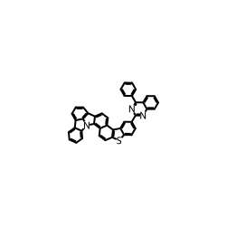 c1ccc(-c2nc(-c3ccc4sc5ccc6c(ccc7c8cccc9c%10ccccc%10n(c67)c98)c5c4c3)nc3ccccc23)cc1